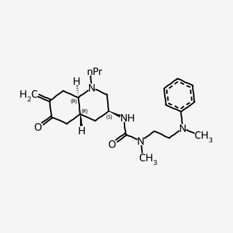 C=C1C[C@@H]2[C@@H](CC1=O)C[C@H](NC(=O)N(C)CCN(C)c1ccccc1)CN2CCC